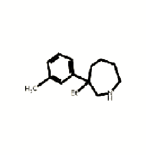 CCC1(c2cccc(C)c2)CCCCNC1